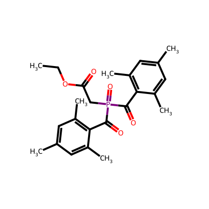 CCOC(=O)CP(=O)(C(=O)c1c(C)cc(C)cc1C)C(=O)c1c(C)cc(C)cc1C